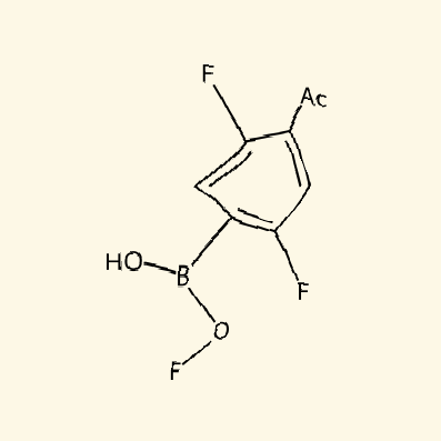 CC(=O)c1cc(F)c(B(O)OF)cc1F